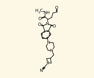 CNC(=O)C(CCC=O)N1C(=O)c2ccc(N3CCN(CC4CB(C#N)C4)CC3)cc2C1=O